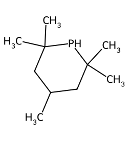 CC1CC(C)(C)PC(C)(C)C1